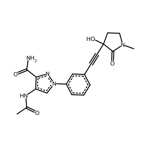 CC(=O)Nc1cn(-c2cccc(C#CC3(O)CCN(C)C3=O)c2)nc1C(N)=O